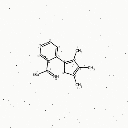 CC1=C(C)C(C)=C(c2ccccc2C(=N)C(C)(C)C)C1